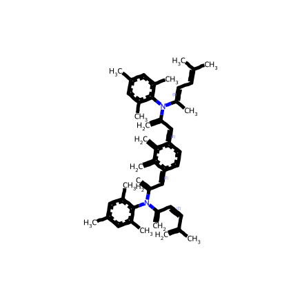 C=C(C)/C=C\C(=C)N(C(=C)/C=c1/cc/c(=C/C(=C)N(/C(C)=C/C=C(C)C)c2c(C)cc(C)cc2C)c(=C)c1=C)c1c(C)cc(C)cc1C